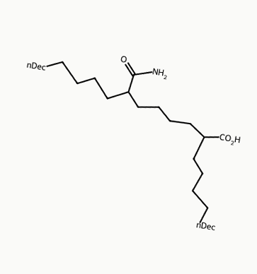 CCCCCCCCCCCCCCC(CCCCC(CCCCCCCCCCCCCC)C(=O)O)C(N)=O